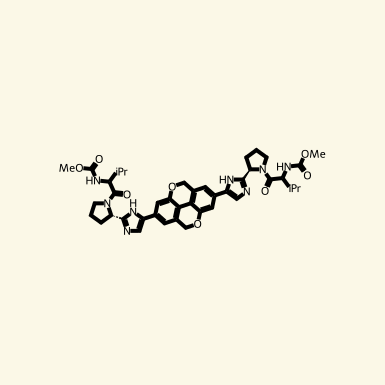 COC(=O)NC(C(=O)N1CCC[C@@H]1c1ncc(-c2cc3c4c(c2)OCc2cc(-c5cnc([C@@H]6CCCN6C(=O)C(NC(=O)OC)C(C)C)[nH]5)cc(c2-4)OC3)[nH]1)C(C)C